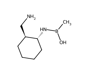 CB(O)N[C@@H]1CCCC[C@H]1CN